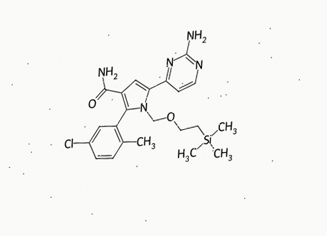 Cc1ccc(Cl)cc1-c1c(C(N)=O)cc(-c2ccnc(N)n2)n1COCC[Si](C)(C)C